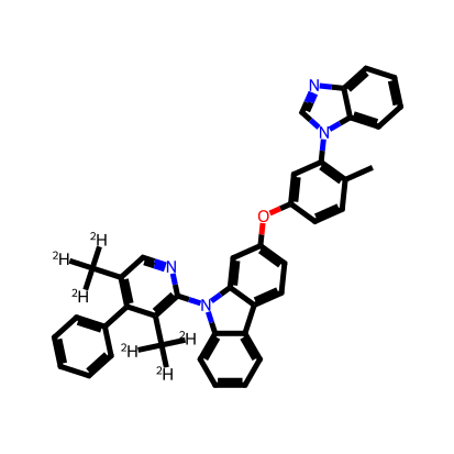 [2H]C([2H])([2H])c1cnc(-n2c3ccccc3c3ccc(Oc4ccc(C)c(-n5cnc6ccccc65)c4)cc32)c(C([2H])([2H])[2H])c1-c1ccccc1